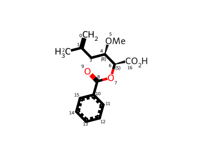 C=C(C)C[C@@H](OC)[C@H](OC(=O)c1ccccc1)C(=O)O